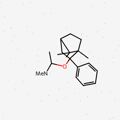 CNC(C)OC1(c2ccccc2)CC2CCC1(C)C2(C)C